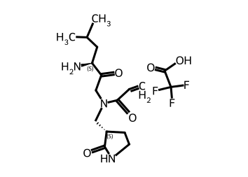 C=CC(=O)N(CC(=O)[C@@H](N)CC(C)C)C[C@@H]1CCNC1=O.O=C(O)C(F)(F)F